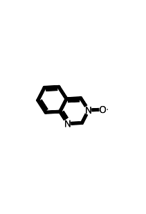 [O]N1C=c2ccccc2=NC1